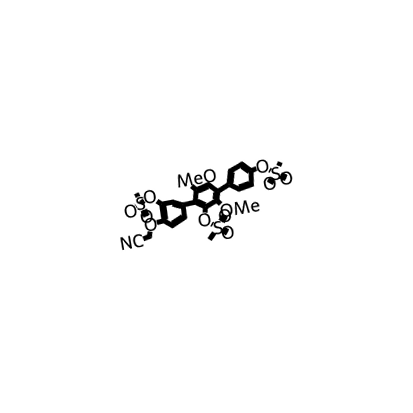 COc1cc(-c2ccc(OS(C)(=O)=O)cc2)c(OC)c(OS(C)(=O)=O)c1-c1ccc(OCC#N)c(OS(C)(=O)=O)c1